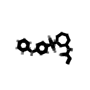 C=CC(=O)NC1CCCCN(S(=O)(=O)c2ccc(Oc3ccccn3)cc2)C1